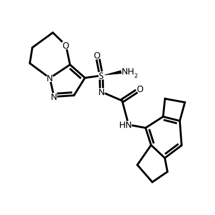 N[S@@](=O)(=NC(=O)Nc1c2c(cc3c1CC3)CCC2)c1cnn2c1OCCC2